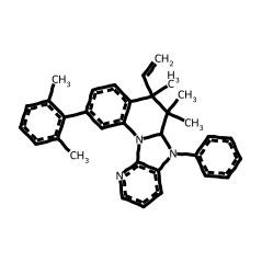 C=CC1(C)c2ccc(-c3c(C)cccc3C)cc2N2c3ncccc3N(c3ccccc3)C2C1(C)C